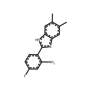 Cc1cc2nc(-c3ccc(F)cc3N)[nH]c2cc1C